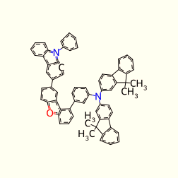 CC1(C)c2ccccc2-c2ccc(N(c3cccc(-c4cccc5oc6ccc(-c7ccc8c(c7)c7ccccc7n8-c7ccccc7)cc6c45)c3)c3ccc4c(c3)C(C)(C)c3ccccc3-4)cc21